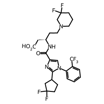 O=C(O)C[C@H](CCN1CCCC(F)(F)C1)NC(=O)c1cn(-c2ccccc2C(F)(F)F)c(C2CCC(F)(F)C2)n1